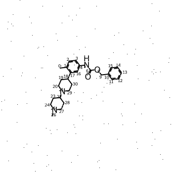 Cc1ccc(NC(=O)OCc2ccccc2)cc1C1CCN(C2CCN(C)CC2)CC1